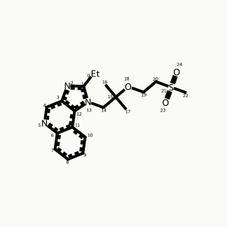 CCc1nc2cnc3ccccc3c2n1CC(C)(C)OCCS(C)(=O)=O